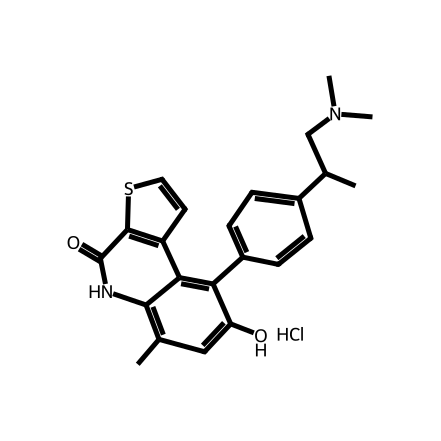 Cc1cc(O)c(-c2ccc(C(C)CN(C)C)cc2)c2c1[nH]c(=O)c1sccc12.Cl